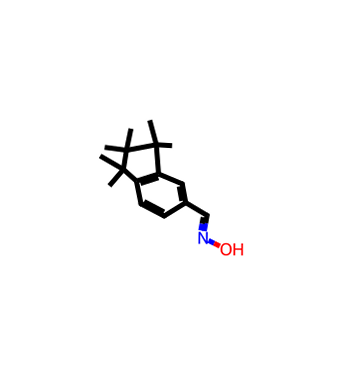 CC1(C)c2ccc(C=NO)cc2C(C)(C)C1(C)C